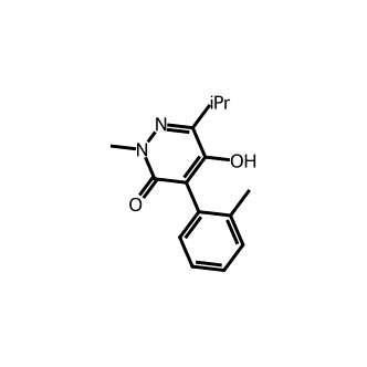 Cc1ccccc1-c1c(O)c(C(C)C)nn(C)c1=O